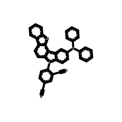 N#Cc1ccc(-n2c3ccc(N(c4ccccc4)c4ccccc4)cc3c3c4oc5ccccc5c4ccc32)c(C#N)c1